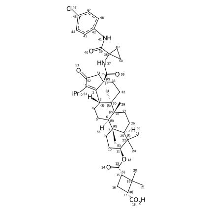 CC(C)C1=C2[C@H]3CC[C@@H]4[C@@]5(C)CC[C@H](OC(=O)[C@H]6C[C@@H](C(=O)O)C6(C)C)C(C)(C)[C@@H]5CC[C@@]4(C)[C@]3(C)CC[C@@]2(C(=O)NC2(C(=O)Nc3ccc(Cl)cc3)CC2)CC1=O